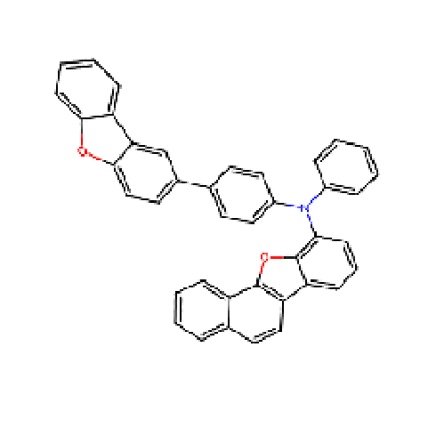 c1ccc(N(c2ccc(-c3ccc4oc5ccccc5c4c3)cc2)c2cccc3c2oc2c4ccccc4ccc32)cc1